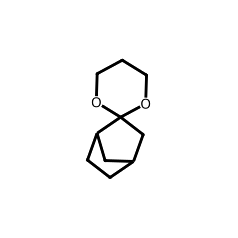 C1COC2(CC3CCC2C3)OC1